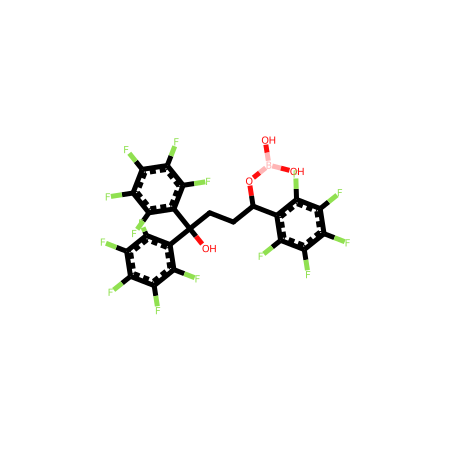 OB(O)OC(CCC(O)(c1c(F)c(F)c(F)c(F)c1F)c1c(F)c(F)c(F)c(F)c1F)c1c(F)c(F)c(F)c(F)c1F